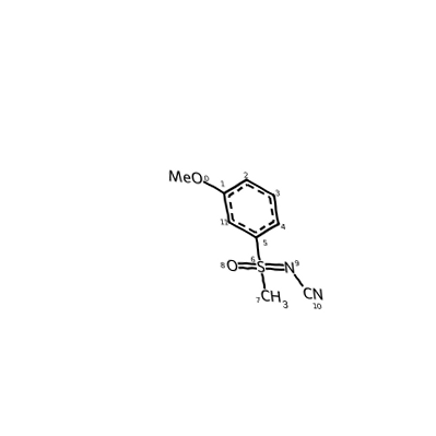 COc1cccc(S(C)(=O)=NC#N)c1